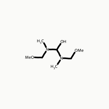 COCN(C)C(O)N(C)COC